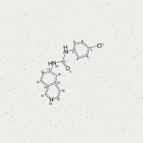 O=C(Nc1ccc(Cl)cc1)Nc1ccc2cnccc2c1